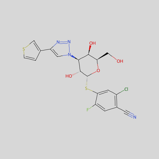 N#Cc1cc(F)c(S[C@H]2O[C@H](CO)[C@H](O)[C@H](n3cc(-c4ccsc4)nn3)[C@H]2O)cc1Cl